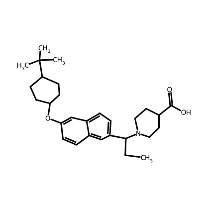 CCC(c1ccc2cc(OC3CCC(C(C)(C)C)CC3)ccc2c1)N1CCC(C(=O)O)CC1